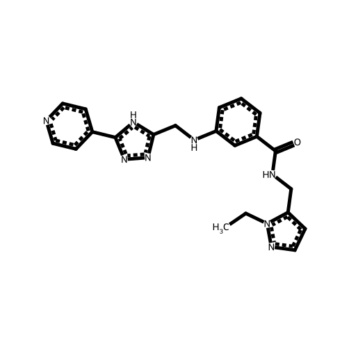 CCn1nccc1CNC(=O)c1cccc(NCc2nnc(-c3ccncc3)[nH]2)c1